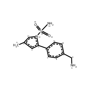 Cc1cc(-c2ccc(CN)cc2)n(S(N)(=O)=O)c1